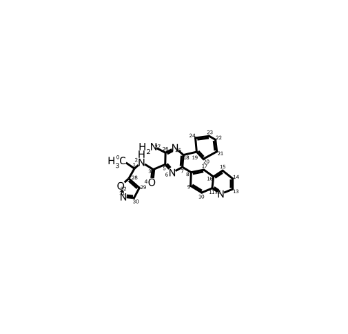 CC(NC(=O)c1nc(-c2ccc3ncccc3c2)c(-c2ccccc2)nc1N)c1ccno1